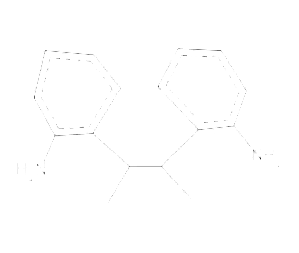 CC(c1ccccc1N)C(C)c1ccccc1N